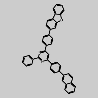 c1ccc(-c2nc(-c3ccc(-c4ccc5ccccc5c4)cc3)cc(-c3ccc(-c4ccc5c(c4)oc4ccccc45)cc3)n2)cc1